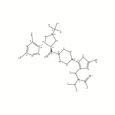 CC(=O)N(C(C)C)C(C)c1cc(Cl)sc1N1CCN(C(=O)[C@@H]2CN(C(C)(C)C)C[C@H]2c2ccc(F)cc2F)CC1